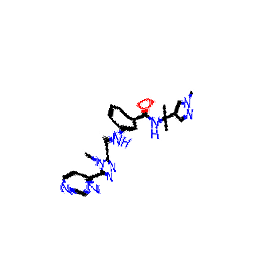 Cn1cc(C(C)(C)NC(=O)c2cccc(NCc3nnc(-c4ccncn4)n3C)c2)cn1